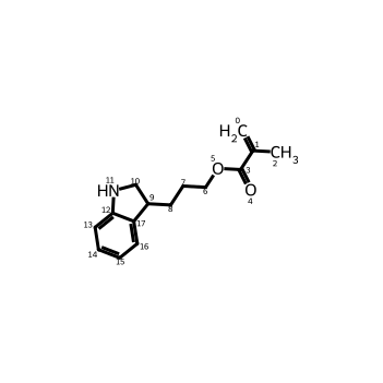 C=C(C)C(=O)OCCCC1CNc2ccccc21